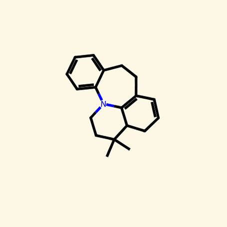 CC1(C)CCN2C3=C(C=CCC31)CCc1ccccc12